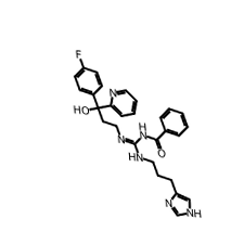 O=C(NC(=NCCC(O)(c1ccc(F)cc1)c1ccccn1)NCCCc1c[nH]cn1)c1ccccc1